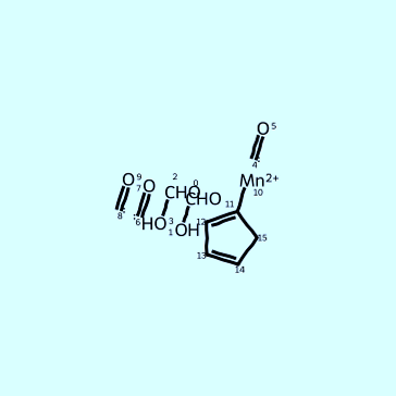 O=[C-]O.O=[C-]O.[C]=O.[C]=O.[C]=O.[Mn+2][C]1=CC=CC1